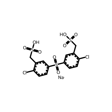 O=S(=O)(O)Cc1cc(S(=O)(=O)c2ccc(Cl)c(CS(=O)(=O)O)c2)ccc1Cl.[Na]